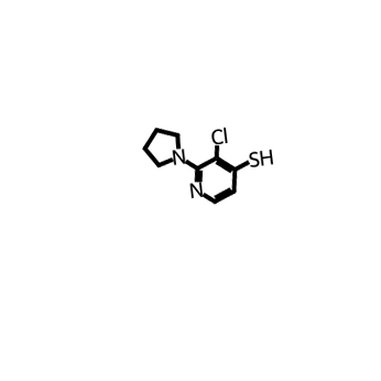 Sc1ccnc(N2CCCC2)c1Cl